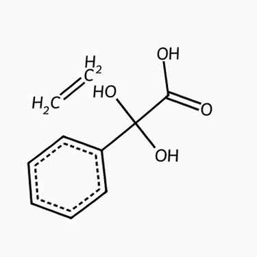 C=C.O=C(O)C(O)(O)c1ccccc1